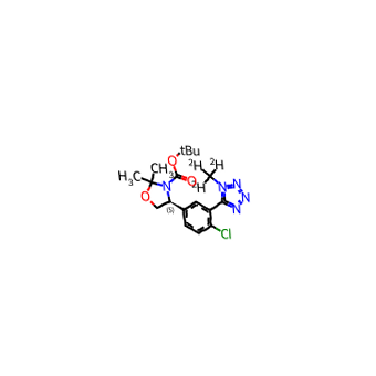 [2H]C([2H])([2H])n1nnnc1-c1cc([C@H]2COC(C)(C)N2C(=O)OC(C)(C)C)ccc1Cl